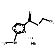 Br.Br.CCOC(=O)c1csc(NN)n1